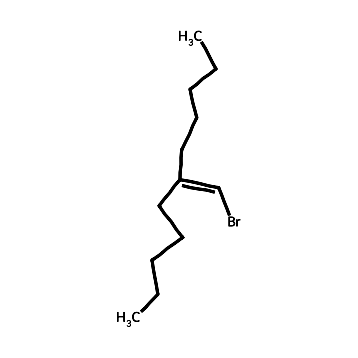 CCCCCC(=CBr)CCCCC